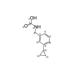 O=C(O)NCc1cccc(C2CC2)c1